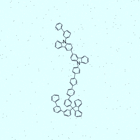 c1ccc(-c2cccc(-c3cccc(C4(c5cccc(-c6ccc(-c7ccc(-c8ccc(-n9c%10ccccc%10c%10cc(-c%11ccc%12c(c%11)c%11ccccc%11n%12-c%11cccc(-c%12ccccc%12)c%11)ccc%109)cc8)cc7)cc6)c5)c5ccccc5-c5ccccc54)c3)c2)cc1